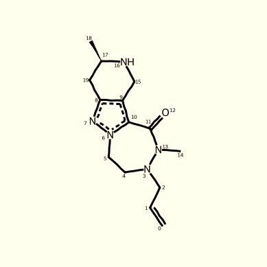 C=CCN1CCn2nc3c(c2C(=O)N1C)CN[C@H](C)C3